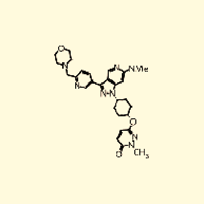 CNc1cc2c(cn1)c(-c1ccc(CN3CCOCC3)nc1)nn2[C@H]1CC[C@@H](Oc2ccc(=O)n(C)n2)CC1